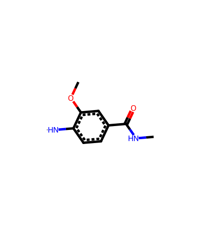 CNC(=O)c1ccc([NH])c(OC)c1